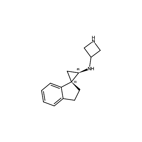 c1ccc2c(c1)CC[C@]21C[C@H]1NC1CNC1